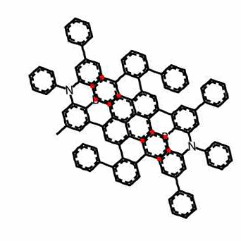 Cc1cc2c3c(c1)N(c1ccccc1)c1cc(-c4ccccc4)ccc1B3c1cc3c(-c4c(-c5ccccc5)cccc4-c4ccccc4)cc4c5c(cc6c(-c7c(-c8ccccc8)cccc7-c7ccccc7)cc-2c1c6c35)B1c2ccc(-c3ccccc3)cc2N(c2ccccc2)c2cc(-c3ccccc3)cc-4c21